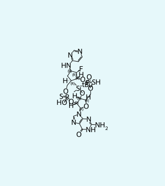 CC(C)(C)[Si](C)(C)O[C@H]1[C@H]2O[P@](O)(=S)OC[C@H]3C[C@@H](Nc4ccncn4)[C@@H](F)[C@@H]3O[P@@](=O)(S)OC[C@H]1O[C@H]2n1cnc2c(=O)[nH]c(N)nc21